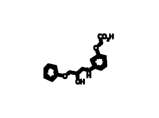 O=C(O)COc1cccc(NCC(O)COc2ccccc2)c1